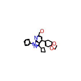 O=Cc1cc(C2=CCC3(CC2)OCCO3)c2c(C3CCC3)nn(-c3ccccc3)c2n1